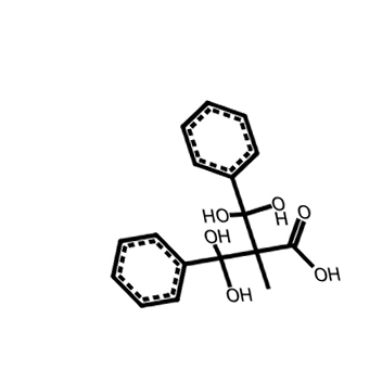 CC(C(=O)O)(C(O)(O)c1ccccc1)C(O)(O)c1ccccc1